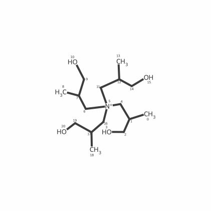 CC(CO)C[N+](CC(C)CO)(CC(C)CO)CC(C)CO